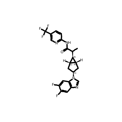 CC(C(=O)Nc1ccc(C(F)(F)F)cn1)[C@H]1[C@@H]2C[C@@H](n3cnc4cc(F)c(F)cc43)C[C@@H]21